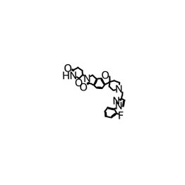 O=C1CCC(N2Cc3c(ccc4c3OCC43CCN(Cc4ccn(-c5ccccc5F)n4)CC3)C2=O)C(=O)N1